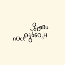 CCCCCCCCOC(=O)C(CC(=O)OCCCC)S(=O)(=O)O